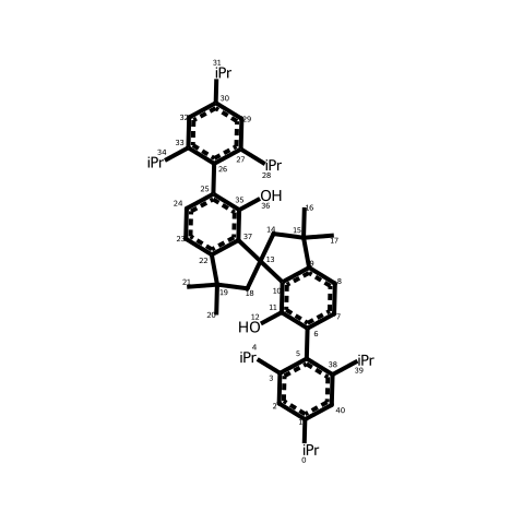 CC(C)c1cc(C(C)C)c(-c2ccc3c(c2O)C2(CC3(C)C)CC(C)(C)c3ccc(-c4c(C(C)C)cc(C(C)C)cc4C(C)C)c(O)c32)c(C(C)C)c1